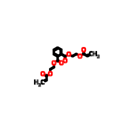 C=CC(=O)OCCOC(=O)c1ccccc1C(=O)OCCOC(=O)C=C